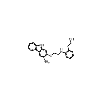 Nc1cc2c(cc1OCCNc1ccccc1CCO)[nH]c1ccccc12